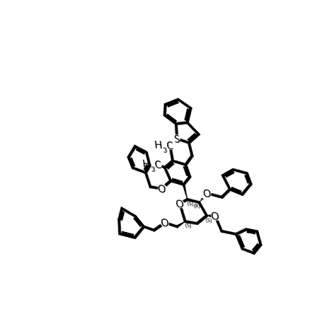 Cc1c(Cc2cc3ccccc3s2)cc([C@@H]2O[C@H](COCc3ccccc3)C[C@H](OCc3ccccc3)[C@H]2OCc2ccccc2)c(OCc2ccccc2)c1C